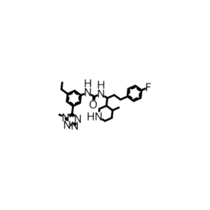 CCc1cc(NC(=O)NC(CCc2ccc(F)cc2)C2CNCCC2C)cc(-c2nnnn2C)c1